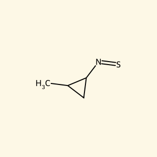 CC1CC1N=S